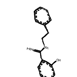 N=C(NCCc1ccccc1)c1ccccc1O